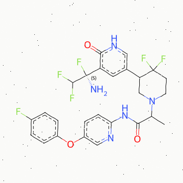 CC(C(=O)Nc1ccc(Oc2ccc(F)cc2)cn1)N1CCC(F)(F)C(c2c[nH]c(=O)c([C@](N)(F)C(F)F)c2)C1